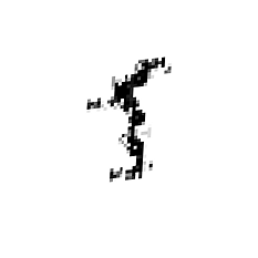 CNC(=O)CCc1ccc(C(=O)NCc2cccc(N3CCN(c4nc(Nc5cccc(S(N)(=O)=O)c5)ncc4OC)CC3)c2)cc1